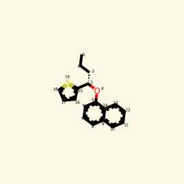 CCC[C@H](Oc1cccc2ccccc12)c1cccs1